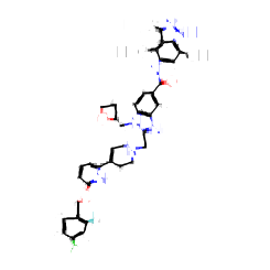 Cc1cc(NC(=O)c2ccc3c(c2)nc(CN2CC=C(c4cccc(OCc5ccc(Cl)cc5F)n4)CC2)n3C[C@@H]2CCO2)c(C)c2c(C)n[nH]c12